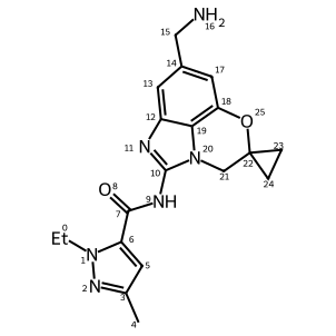 CCn1nc(C)cc1C(=O)Nc1nc2cc(CN)cc3c2n1CC1(CC1)O3